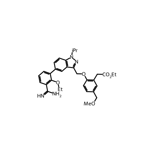 CCOC(=O)Cc1cc(COC)ccc1OCc1nn(C(C)C)c2ccc(-c3cccc(C(=N)N)c3OCC)cc12